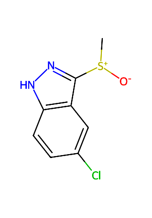 C[S+]([O-])c1n[nH]c2ccc(Cl)cc12